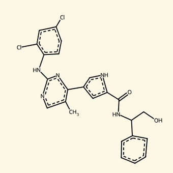 Cc1cnc(Nc2ccc(Cl)cc2Cl)nc1-c1c[nH]c(C(=O)NC(CO)c2ccccc2)c1